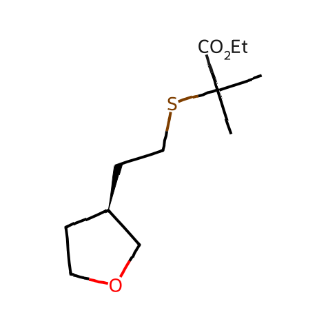 CCOC(=O)C(C)(C)SCC[C@@H]1CCOC1